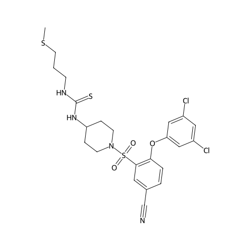 CSCCCNC(=S)NC1CCN(S(=O)(=O)c2cc(C#N)ccc2Oc2cc(Cl)cc(Cl)c2)CC1